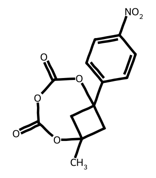 CC12CC(c3ccc([N+](=O)[O-])cc3)(C1)OC(=O)OC(=O)O2